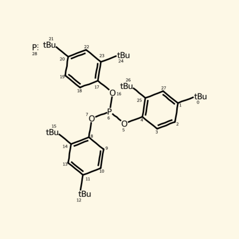 CC(C)(C)c1ccc(OP(Oc2ccc(C(C)(C)C)cc2C(C)(C)C)Oc2ccc(C(C)(C)C)cc2C(C)(C)C)c(C(C)(C)C)c1.[P]